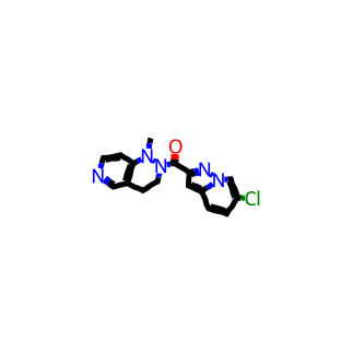 CN1c2ccncc2CCN1C(=O)c1cc2ccc(Cl)cn2n1